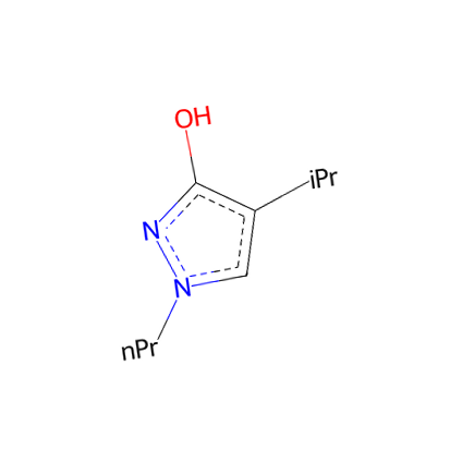 CCCn1cc(C(C)C)c(O)n1